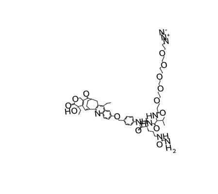 CCc1c2c(nc3ccc(OCc4ccc(NC(=O)[C@H](CCCNC(N)=O)NC(=O)[C@@H](NC(=O)CCOCCOCCOCCOCCOCCN=[N+]=[N-])C(C)C)cc4)cc13)/C1=C/C3=C(COC(=O)[C@]3(O)CC)C(=O)C(CC1)C2